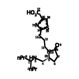 CCCC(CCC)NC[C@H]1CCC(=O)N1CCSc1nc(C(=O)O)cs1